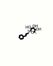 C[C@@H]1O[C@@H](SCC=Cc2ccccc2)[C@H](O)[C@H](O)[C@H]1O